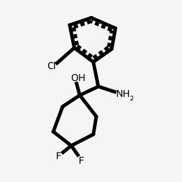 NC(c1ccccc1Cl)C1(O)CCC(F)(F)CC1